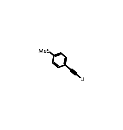 [Li][C]#Cc1ccc(SC)cc1